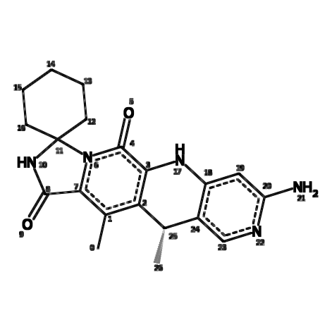 Cc1c2c(c(=O)n3c1C(=O)NC31CCCCC1)Nc1cc(N)ncc1[C@@H]2C